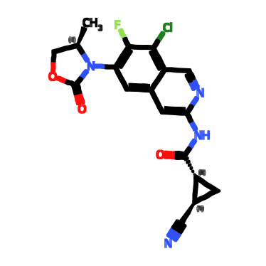 C[C@@H]1COC(=O)N1c1cc2cc(NC(=O)[C@@H]3C[C@H]3C#N)ncc2c(Cl)c1F